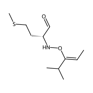 C/C=C(\ON[C@@H](C=O)CCSC)C(C)C